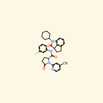 N#Cc1ccnc(N2C(=O)CC[C@H]2C(=O)N(c2cccc(F)c2)[C@@]2(C(=O)NC3CCCCC3)CCc3ccccc32)c1